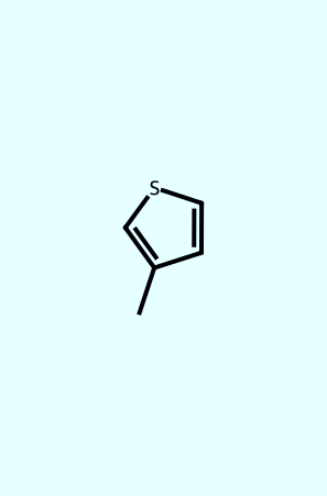 Cc1ccsc1